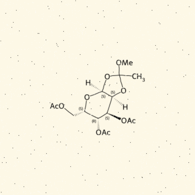 COC1(C)O[C@@H]2O[C@@H](COC(C)=O)[C@@H](OC(C)=O)[C@H](OC(C)=O)[C@@H]2O1